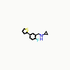 Fc1ccc(-c2cccs2)cc1CNC1CC1